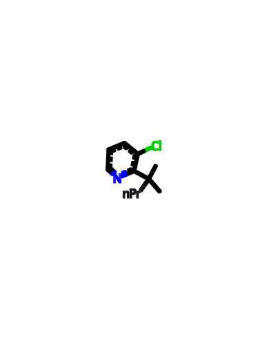 CCCC(C)(C)c1ncccc1Cl